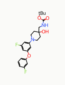 CC(C)(C)OC(=O)NCC1(O)CCN(c2cc(F)cc(Oc3cccc(F)c3)c2)CC1